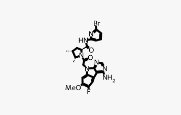 COc1cc2c(cc1F)c1c(N)ncnc1n2CC(=O)N1[C@H](C)[C@H](C)C[C@H]1C(=O)Nc1cccc(Br)n1